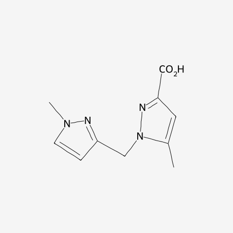 Cc1cc(C(=O)O)nn1Cc1ccn(C)n1